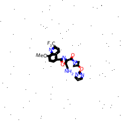 COc1ccc(-c2nc(C(=O)N3CC(Oc4ncccn4)C3)c(CN)o2)c2ccc(C(F)(F)F)nc12